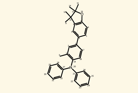 Cc1cc(-c2ccc3c(c2)C(C)(C)C(C)(C)O3)ccc1N(c1ccccc1)c1ccccc1